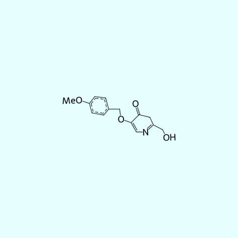 COc1ccc(COC2=CN=C(CO)CC2=O)cc1